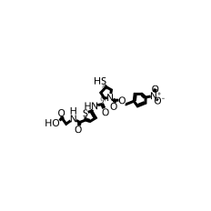 O=C(O)CNC(=O)c1ccc(NC(=O)[C@@H]2C[C@H](S)CN2C(=O)OCc2ccc([N+](=O)[O-])cc2)s1